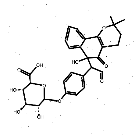 CC1(C)CCC2=C(O1)c1ccccc1C(O)(C(C=O)c1ccc(O[C@@H]3O[C@H](C(=O)O)[C@@H](O)[C@H](O)[C@H]3O)cc1)C2=O